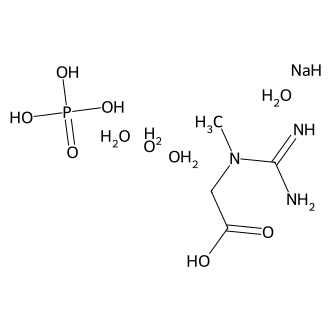 CN(CC(=O)O)C(=N)N.O.O.O.O.O=P(O)(O)O.[NaH]